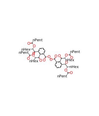 CCCCCCC(OC(=O)CCCCC)C(=O)c1cccc(C(=O)OOC(=O)c2cccc(C(=O)C(CCCCCC)OC(=O)CCCCC)c2C(=O)C(CCCCCC)OC(=O)CCCCC)c1C(=O)C(CCCCCC)OC(=O)CCCCC